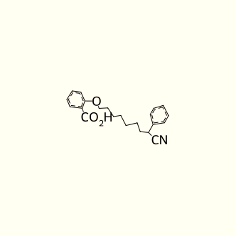 N#CC(CCCCCCCOc1ccccc1C(=O)O)c1ccccc1